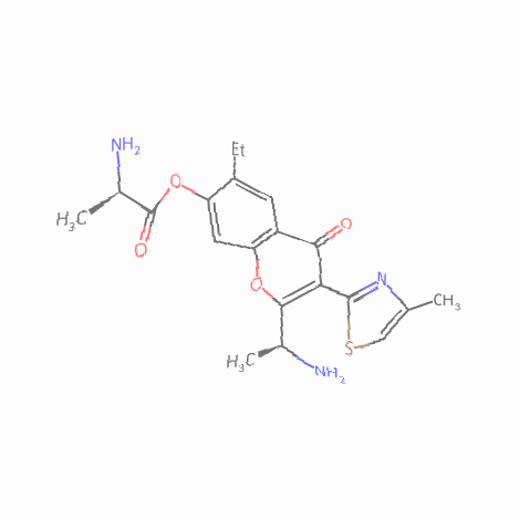 CCc1cc2c(=O)c(-c3nc(C)cs3)c([C@H](C)N)oc2cc1OC(=O)[C@@H](C)N